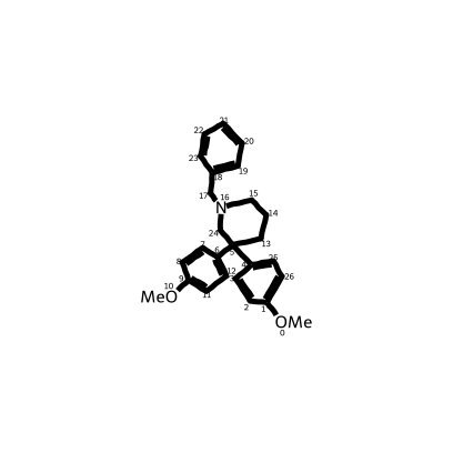 COc1ccc(C2(c3ccc(OC)cc3)CCCN(Cc3ccccc3)C2)cc1